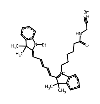 C#CCNC(=O)CCCCC[N+]1=C(/C=C/C=C/C=C2\N(CC)c3ccccc3C2(C)C)C(C)(C)c2ccccc21.[Br-]